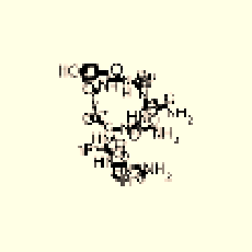 CCC[C@H](NC(=O)[C@@H]1CC[S+]([O-])CCC(=O)N[C@@H](Cc2ccc(O)cc2)C(=O)N[C@@H]([C@@H](C)CC)C(=O)N[C@@H](CCC(N)=O)C(=O)N[C@@H](CC(N)=O)C(=O)N1)C(=O)N[C@@H](CC(C)C)C(=O)NCC(N)=O